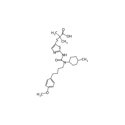 COc1ccc(CCCCN(C(=O)Nc2ncc(SC(C)(C)C(=O)O)s2)C2CCC(C)CC2)cc1